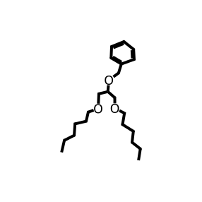 CCCCCCOCC(COCCCCCC)OCc1ccccc1